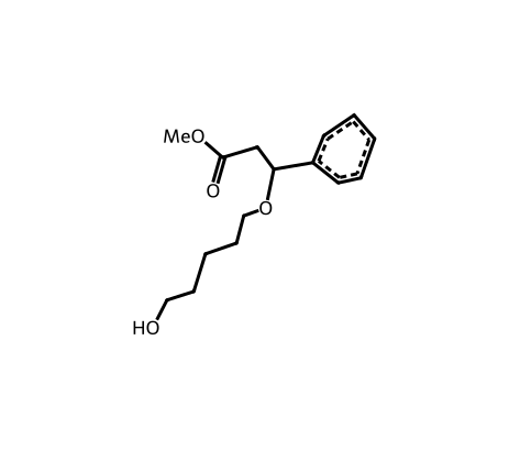 COC(=O)CC(OCCCCCO)c1ccccc1